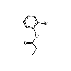 CCC(=O)Oc1ccccc1Br